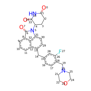 O=C1CCC(N2C(=O)c3cccc4c(Cc5ccc(CN6CCOCC6)c(F)c5)ccc2c34)C(=O)N1